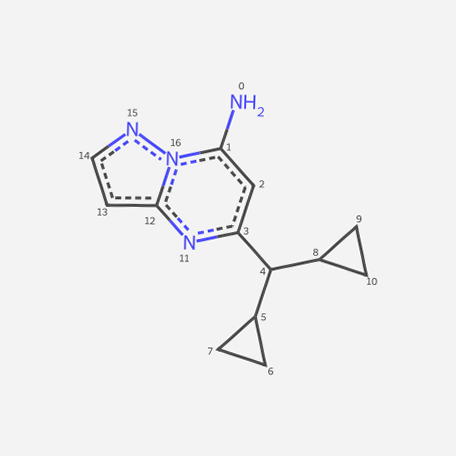 Nc1cc(C(C2CC2)C2CC2)nc2ccnn12